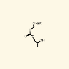 CCCCCCOC(=O)OCC(C)O